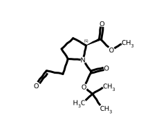 COC(=O)[C@@H]1CCC(CC=O)N1C(=O)OC(C)(C)C